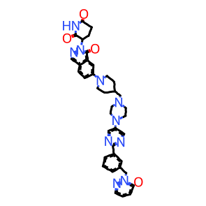 O=C1CCC(n2ncc3ccc(N4CCC(CN5CCN(c6cnc(-c7cccc(Cn8ncccc8=O)c7)nc6)CC5)CC4)cc3c2=O)C(=O)N1